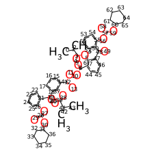 CC(C)C(=O)Oc1c(C(=O)OOC(=O)c2cccc(C(=O)c3ccccc3OC(=O)OC3CCCCC3)c2OC(=O)C(C)C)cccc1C(=O)c1ccccc1OC(=O)OC1CCCCC1